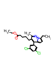 CCOC(=O)CCCCc1c(C)nn2c(CC)ccc2c1-c1cc(Cl)cc(Cl)c1